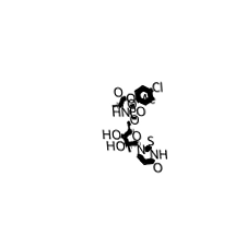 COC(=O)[C@H](C)NP(=O)(OC[C@H]1O[C@@H](n2ccc(=O)[nH]c2=S)[C@](C)(O)C1O)Oc1ccc(Cl)cc1